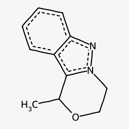 CC1OCCn2nc3ccccc3c21